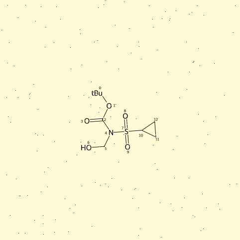 CC(C)(C)OC(=O)N(CO)S(=O)(=O)C1CC1